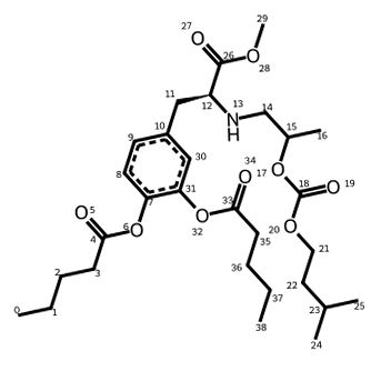 CCCCC(=O)Oc1ccc(C[C@H](NCC(C)OC(=O)OCCC(C)C)C(=O)OC)cc1OC(=O)CCCC